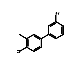 Cc1cc(-c2cccc(C(C)C)c2)ccc1Cl